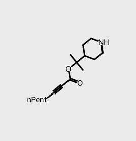 CCCCCC#CC(=O)OC(C)(C)C1CCNCC1